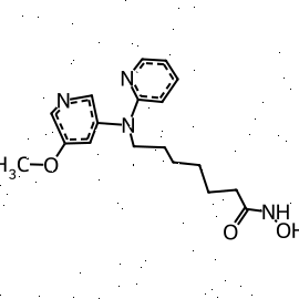 COc1cncc(N(CCCCCCC(=O)NO)c2ccccn2)c1